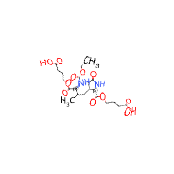 CCOC(=O)N[C@H](C(=O)OCCCC(=O)O)C(C)CC1CC(=O)N[C@@H]1C(=O)OCCCC(=O)O